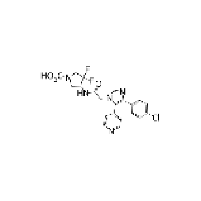 O=C(Cn1cnc(-c2ccc(Cl)cc2)c1-c1ccncc1)NC1CN(C(=O)O)CC1(F)F